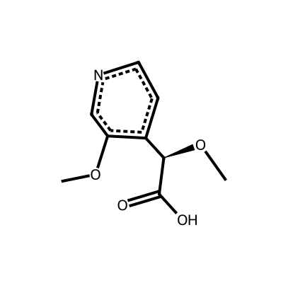 COc1cnccc1[C@@H](OC)C(=O)O